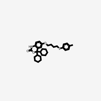 Cc1ccc(SCCCCOc2ccc3c(c2)C(C2CCCCC2)(C2CCCCC2)OC(=O)N3)cc1